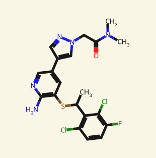 CC(Sc1cc(-c2cnn(CC(=O)N(C)C)c2)cnc1N)c1c(Cl)ccc(F)c1Cl